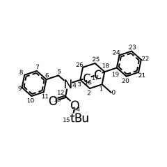 CC1CC2(N(Cc3ccccc3)C(=O)OC(C)(C)C)CCC1(c1ccccc1)CC2